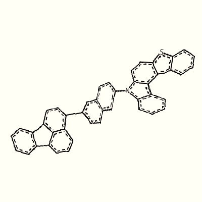 c1ccc2c(c1)-c1cccc3c(-c4ccc5cc(-n6c7ccccc7c7c8c(ccc76)sc6ccccc68)ccc5c4)ccc-2c13